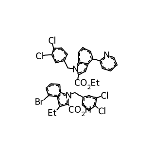 CCOC(=O)c1cc2c(-c3ccccn3)cccc2n1Cc1ccc(Cl)c(Cl)c1.CCc1c(C(=O)O)n(Cc2ccc(Cl)c(Cl)c2)c2cccc(Br)c12